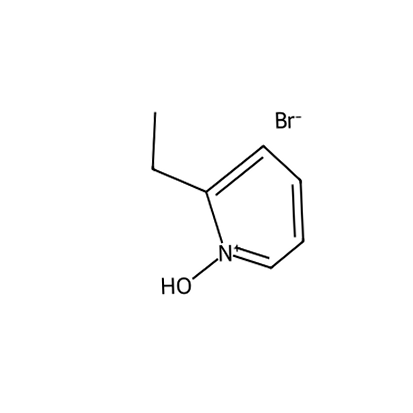 CCc1cccc[n+]1O.[Br-]